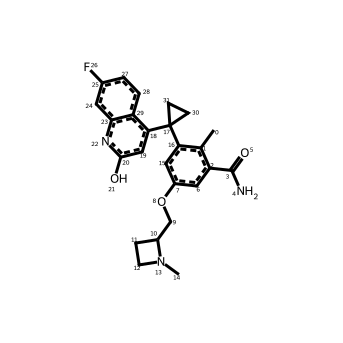 Cc1c(C(N)=O)cc(OCC2CCN2C)cc1C1(c2cc(O)nc3cc(F)ccc23)CC1